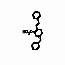 O=C(O)C1=C(/C=C/c2ccccc2)CCN(Cc2ccccc2)C1